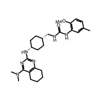 COc1ccc(C)cc1NC(=O)NC[C@H]1CC[C@@H](Nc2nc3c(c(N(C)C)n2)CCCC3)CC1